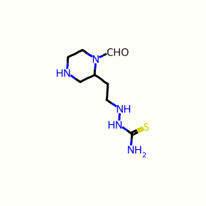 NC(=S)NNCCC1CNCCN1C=O